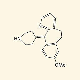 COc1ccc2c(c1)CCc1cccnc1C2=C1CCNCC1